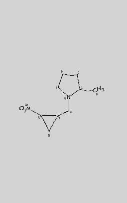 CC1CCCN1CC1CC1[N+](=O)[O-]